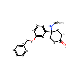 CCCCCNC1(c2cccc(OCc3ccccc3)c2)CCC(=O)CC1